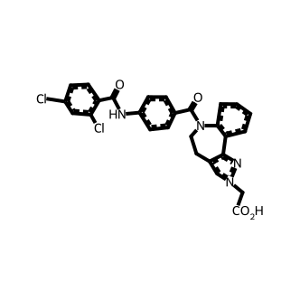 O=C(O)Cn1cc2c(n1)-c1ccccc1N(C(=O)c1ccc(NC(=O)c3ccc(Cl)cc3Cl)cc1)CC2